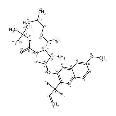 C=CC(F)(F)c1nc2ccc(OC)cc2nc1O[C@H]1CN(C(=O)OC(C)(C)C)[C@H](C(O)OCC(C)C)[C@@H]1C